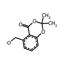 CC1(C)OC(=O)c2c(C[O])cccc2O1